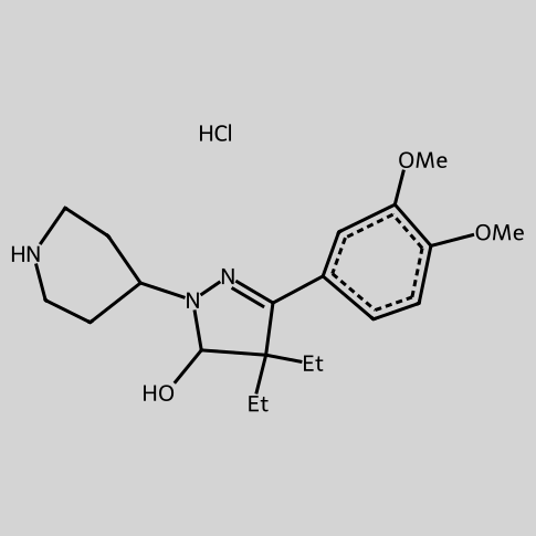 CCC1(CC)C(c2ccc(OC)c(OC)c2)=NN(C2CCNCC2)C1O.Cl